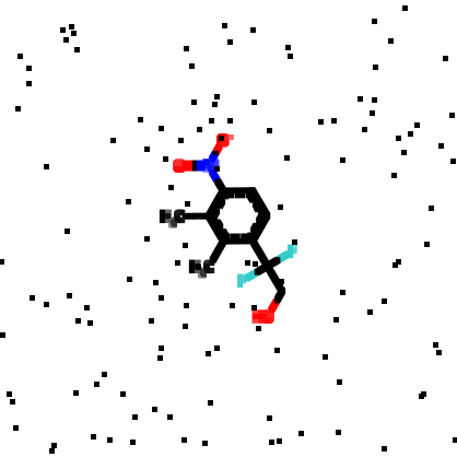 Cc1c([N+](=O)[O-])ccc(C(F)(F)CO)c1C